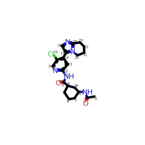 CC(=O)NC1CCCC(C(=O)Nc2cc(-c3cnc4n3CCCC4)c(Cl)cn2)C1